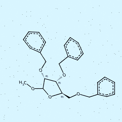 COC1O[C@H](COCc2ccccc2)[C@@H](OCc2ccccc2)[C@H]1OCc1ccccc1